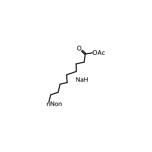 CCCCCCCCCCCCCCCCCC(=O)OC(C)=O.[NaH]